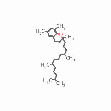 Cc1cc(C)c2c(c1)CCC(C)(CCC[C@H](C)CCC[C@H](C)CCCC(C)C)O2